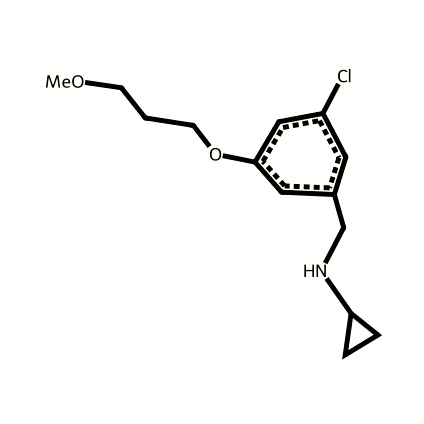 COCCCOc1cc(Cl)cc(CNC2CC2)c1